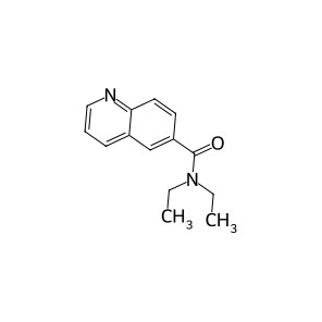 CCN(CC)C(=O)c1ccc2ncccc2c1